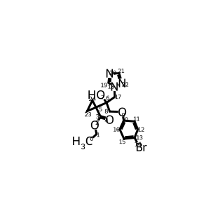 CCOC(=O)C1(C(O)(COc2ccc(Br)cc2)Cn2cncn2)CC1